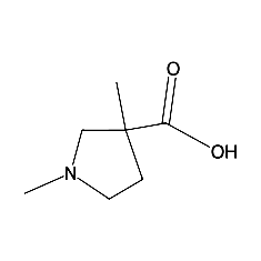 CN1CCC(C)(C(=O)O)C1